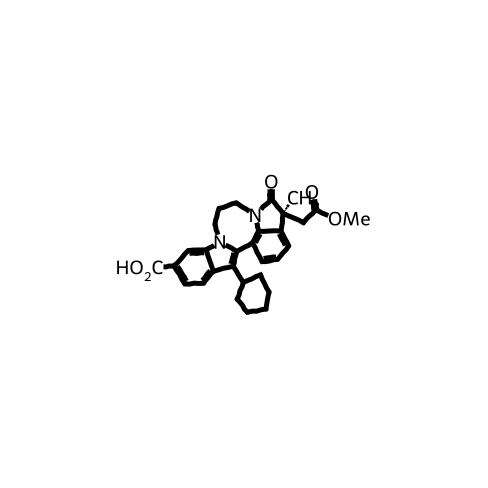 COC(=O)C[C@]1(C)C(=O)N2CCCn3c(c(C4CCCCC4)c4ccc(C(=O)O)cc43)-c3cccc1c32